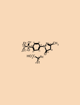 CCC(C(C)=O)C(=O)O.CCN(CC)S(=O)(=O)c1ccc(N2N=C(C)CC2=O)cc1